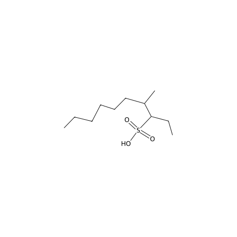 CCCCCCC(C)C(CC)S(=O)(=O)O